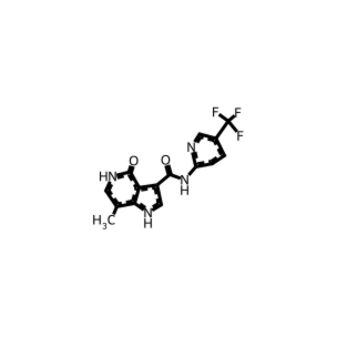 Cc1c[nH]c(=O)c2c(C(=O)Nc3ccc(C(F)(F)F)cn3)c[nH]c12